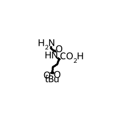 CC(C)(C)OC(=O)CCC(NC(=O)CN)C(=O)O